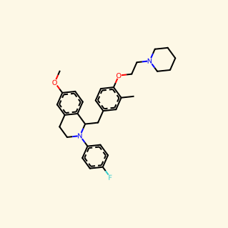 COc1ccc2c(c1)CCN(c1ccc(F)cc1)C2Cc1ccc(OCCN2CCCCC2)c(C)c1